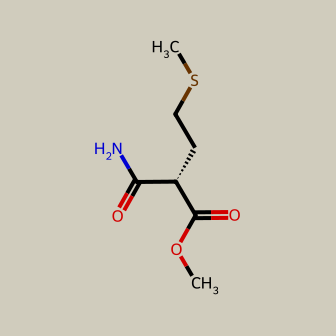 COC(=O)[C@@H](CCSC)C(N)=O